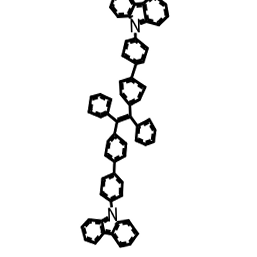 c1ccc(/C(=C(/c2ccccc2)c2ccc(-c3ccc(-n4c5ccccc5c5ccccc54)cc3)cc2)c2ccc(-c3ccc(-n4c5ccccc5c5ccccc54)cc3)cc2)cc1